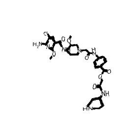 COc1nc(N)c(Cl)cc1C(=O)N[C@@H]1CCN(CC(=O)Nc2ccc(C(=O)OCC(=O)NC3CCNCC3)cc2)C[C@@H]1OC